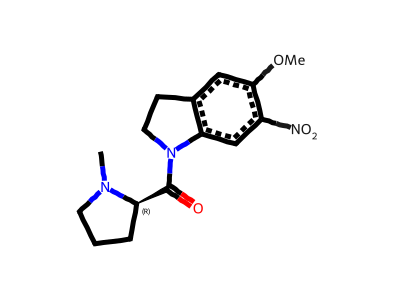 COc1cc2c(cc1[N+](=O)[O-])N(C(=O)[C@H]1CCCN1C)CC2